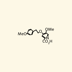 COc1ccc(CCOc2cc(C(=O)O)ncc2OC)cc1